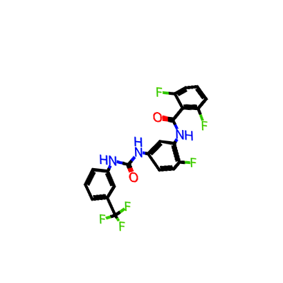 O=C(Nc1cccc(C(F)(F)F)c1)Nc1ccc(F)c(NC(=O)c2c(F)cccc2F)c1